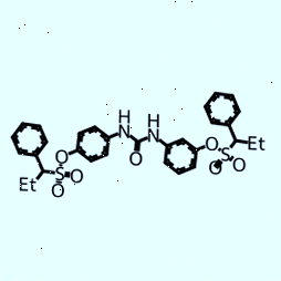 CCC(c1ccccc1)S(=O)(=O)Oc1ccc(NC(=O)Nc2cccc(OS(=O)(=O)C(CC)c3ccccc3)c2)cc1